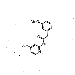 COc1cccc(CC(=O)Nc2cc(Cl)ccn2)c1